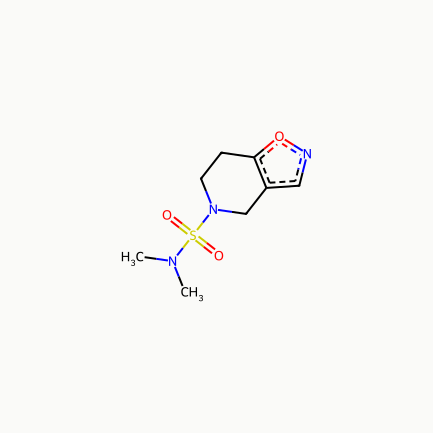 CN(C)S(=O)(=O)N1CCc2oncc2C1